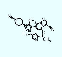 Cc1cnc(C(C)Oc2cc(-c3nnn(C4CCN(C#N)CC4)c3C)cc3ncc(C#N)n23)s1